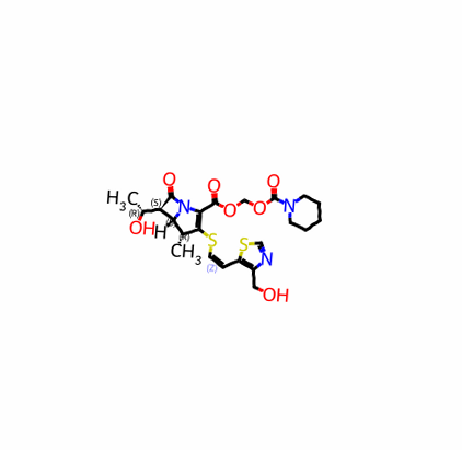 C[C@@H](O)[C@H]1C(=O)N2C(C(=O)OCOC(=O)N3CCCCC3)=C(S/C=C\c3scnc3CO)[C@H](C)[C@H]12